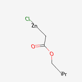 CC(C)COC(=O)[CH2][Zn][Cl]